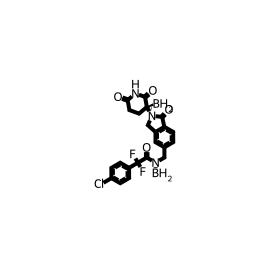 BN(Cc1ccc2c(c1)CN([C@]1(B)CCC(=O)NC1=O)C2=O)C(=O)C(F)(F)c1ccc(Cl)cc1